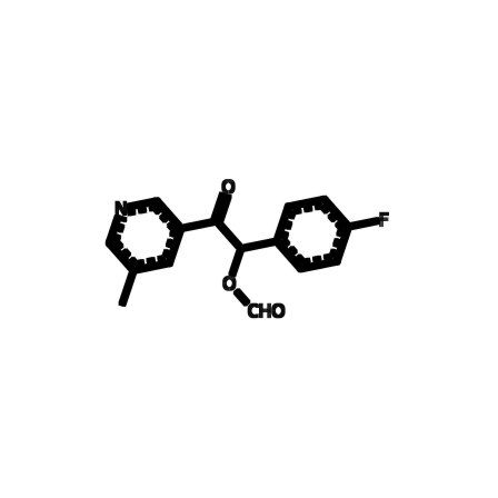 Cc1cncc(C(=O)C(OC=O)c2ccc(F)cc2)c1